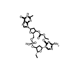 CCOC(=O)OC1C[C@H](n2cnc3c(=O)[nH]c(C)nc32)O[C@@H]1COP(=O)(O)OC1C[C@H](n2cnc(N)nc2=O)O[C@@H]1CC